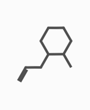 C=CCC1CCCCC1C